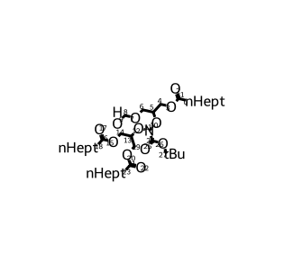 CCCCCCCC(=O)OCC(COCO)ON(OC(COC(=O)CCCCCCC)COC(=O)CCCCCCC)C(=O)OC(C)(C)C